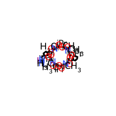 CC(C)C[C@H]1C(=O)O[C@H](Cc2ccc(Cn3ccnc3I)cc2)C(=O)N(C)[C@@H](CC(C)C)C(=O)O[C@H](C)C(=O)N(C)[C@@H](CC(C)C)C(=O)O[C@H](Cc2ccccc2)C(=O)N(C)[C@@H](CC(C)C)C(=O)O[C@H](C)C(=O)N1C